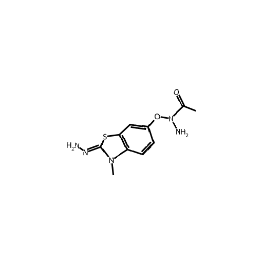 CC(=O)N(N)Oc1ccc2c(c1)sc(=NN)n2C